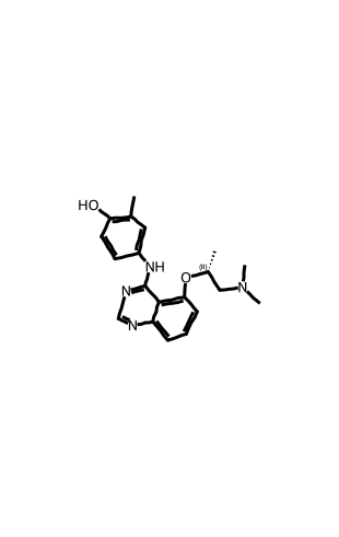 Cc1cc(Nc2ncnc3cccc(O[C@H](C)CN(C)C)c23)ccc1O